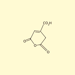 O=C1C=C(C(=O)O)CC(=O)O1